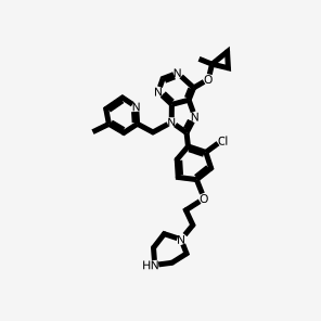 Cc1ccnc(Cn2c(-c3ccc(OCCN4CCNCC4)cc3Cl)nc3c(OC4(C)CC4)ncnc32)c1